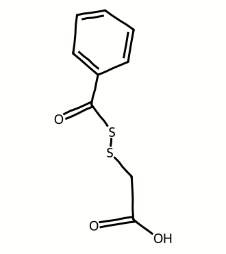 O=C(O)CSSC(=O)c1ccccc1